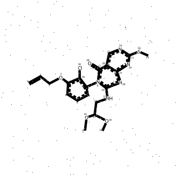 C=CCOc1cccc(-n2c(NCC(OC)OC)nc3nc(SC)ncc3c2=O)c1Cl